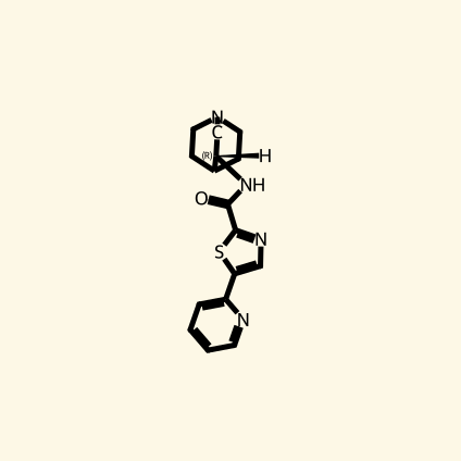 O=C(N[C@H]1CN2CCC1CC2)c1ncc(-c2ccccn2)s1